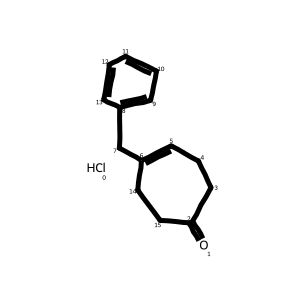 Cl.O=C1CCC=C(Cc2ccccc2)CC1